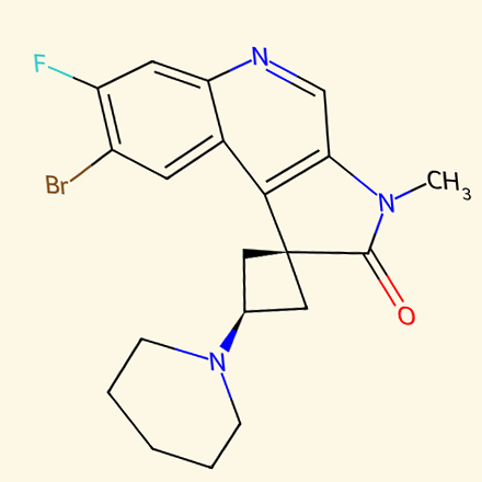 CN1c2cnc3cc(F)c(Br)cc3c2[C@]2(C[C@H](N3CCCCC3)C2)C1=O